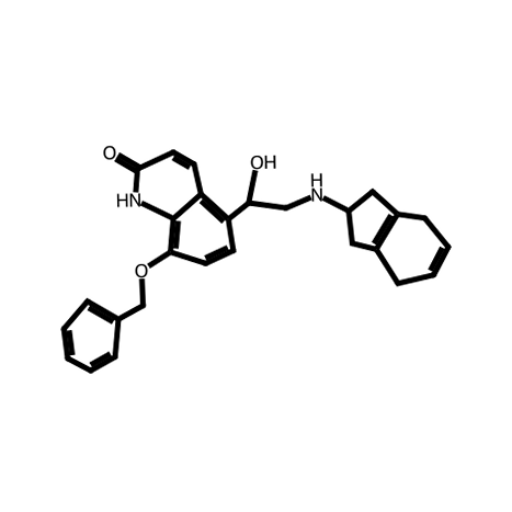 O=c1ccc2c(C(O)CNC3CC4=C(CC=CC4)C3)ccc(OCc3ccccc3)c2[nH]1